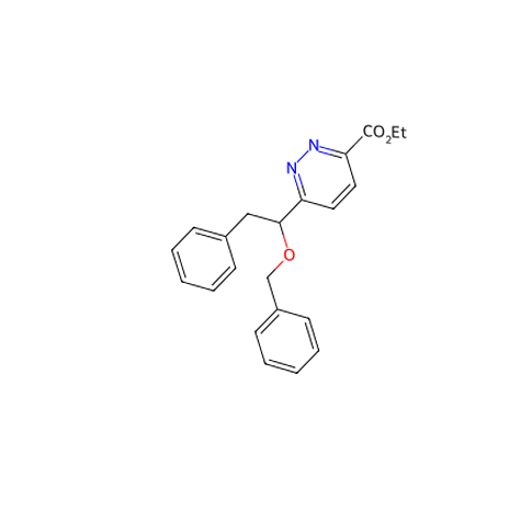 CCOC(=O)c1ccc(C(Cc2ccccc2)OCc2ccccc2)nn1